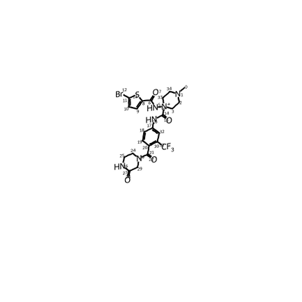 CN1CC[N+](NC(=O)c2ccc(Br)s2)(C(=O)Nc2ccc(C(=O)N3CCNC(=O)C3)c(C(F)(F)F)c2)CC1